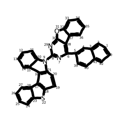 c1ccc2cc(-c3nc(-n4c5ccccc5c5c6c(ccc54)sc4ccccc46)nc4oc5ccccc5c34)ccc2c1